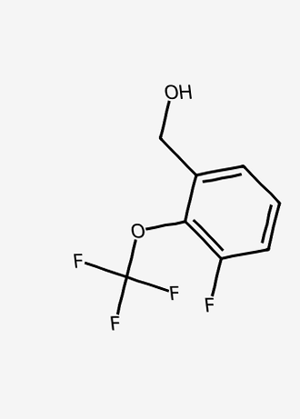 OCc1cccc(F)c1OC(F)(F)F